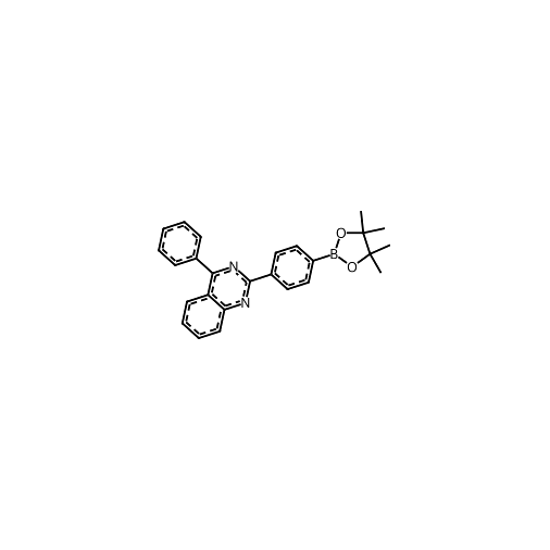 CC1(C)OB(c2ccc(-c3nc(-c4ccccc4)c4ccccc4n3)cc2)OC1(C)C